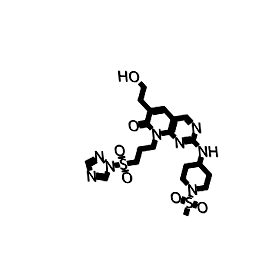 CS(=O)(=O)N1CCC(Nc2ncc3cc(CCO)c(=O)n(CCCS(=O)(=O)n4cncn4)c3n2)CC1